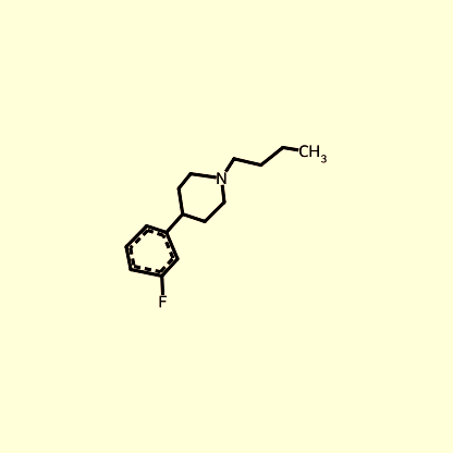 CCCCN1CCC(c2cccc(F)c2)CC1